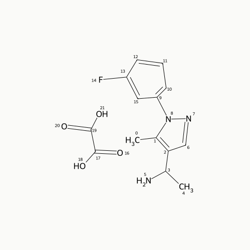 Cc1c(C(C)N)cnn1-c1cccc(F)c1.O=C(O)C(=O)O